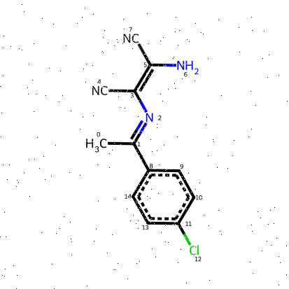 C/C(=N\C(C#N)=C(/N)C#N)c1ccc(Cl)cc1